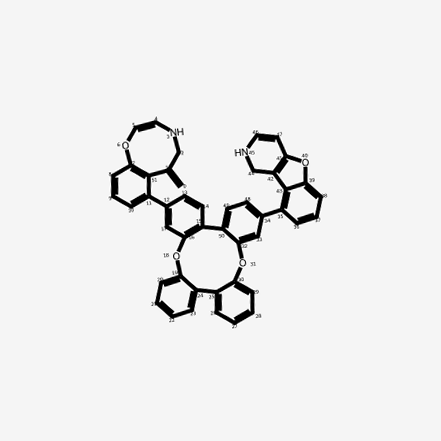 C=C1CN/C=C\Oc2cccc(-c3ccc4c(c3)Oc3ccccc3-c3ccccc3Oc3cc(-c5cccc6oc7c(c56)CNC=C7)ccc3-4)c21